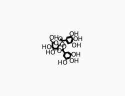 O=C(O[C@@H]1O[C@H](CO)[C@@H](O)[C@H](O)[C@H]1OC(=O)c1cc(O)c(O)c(O)c1)c1cc(O)c(O)c(O)c1